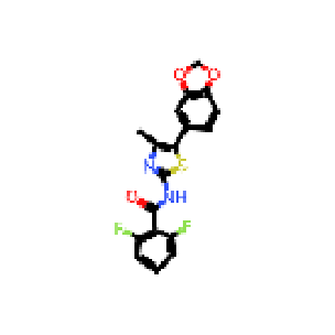 Cc1nc(NC(=O)c2c(F)cccc2F)sc1-c1ccc2c(c1)OCO2